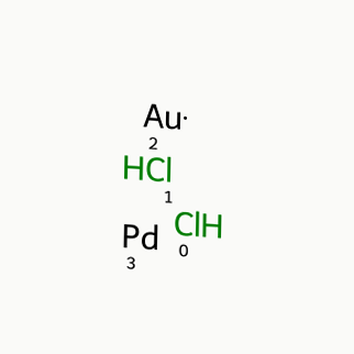 Cl.Cl.[Au].[Pd]